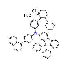 CC1(C)c2ccc(N(c3ccc(-c4cccc5ccccc45)cc3)c3ccc4c(c3)C(c3ccccc3)(c3ccccc3)c3ccccc3-4)cc2-c2c(-c3ccccc3)cccc21